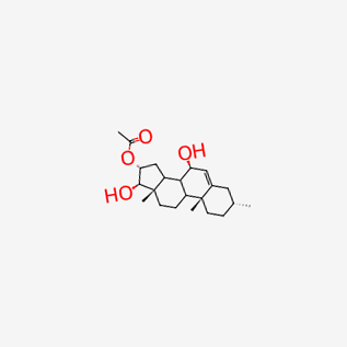 CC(=O)O[C@@H]1CC2C3C(CC[C@]2(C)[C@H]1O)[C@@]1(C)CC[C@@H](C)CC1=C[C@@H]3O